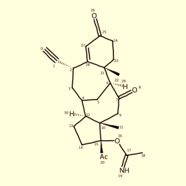 C#C[C@H]1CC2C[C@H](C(=O)C[C@@]3(C)[C@H]2CC[C@]3(OC(C)=N)C(C)=O)[C@@]2(C)CCC(=O)C=C12